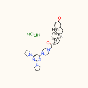 C[C@]12CC[C@H]3[C@@H](CCC4=CC(=O)C=C[C@@]43C)[C@@H]1CC[C@@H]2C(=O)CN1CCN(c2cc(N3CCCC3)nc(N3CCCC3)n2)CC1.Cl.Cl